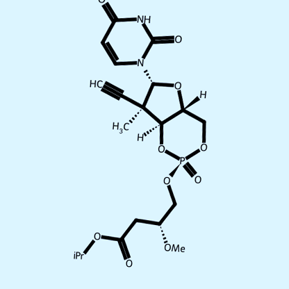 C#C[C@]1(C)[C@@H]2O[P@](=O)(OC[C@@H](CC(=O)OC(C)C)OC)OC[C@H]2O[C@H]1n1ccc(=O)[nH]c1=O